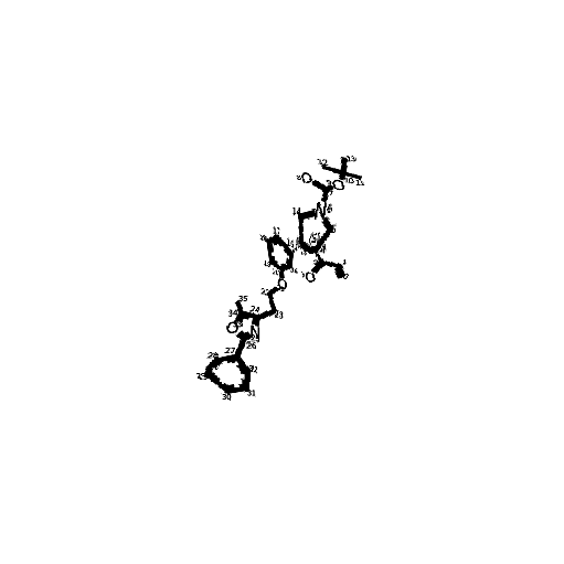 C=CC(=O)[C@@H]1CN(C(=O)OC(C)(C)C)C[C@H]1c1cccc(OCCc2nc(-c3ccccc3)oc2C)c1